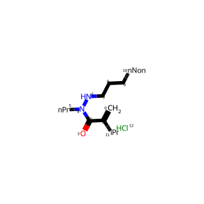 C=C(C(=O)N(CCC)NCCCCCCCCCCCC)C(C)C.Cl